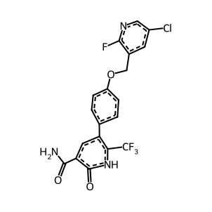 NC(=O)c1cc(-c2ccc(OCc3cc(Cl)cnc3F)cc2)c(C(F)(F)F)[nH]c1=O